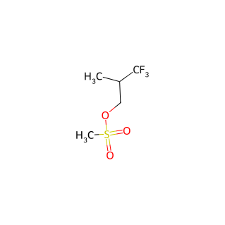 CC(COS(C)(=O)=O)C(F)(F)F